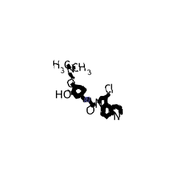 CN(C)CCOc1ccc(/C=C/C(=O)N2CC(CCl)c3c2ccc2ncccc32)cc1O